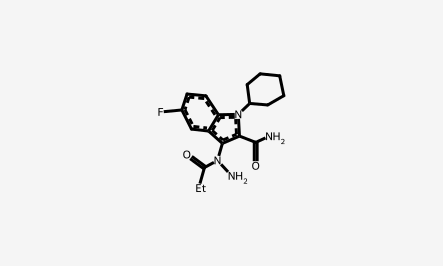 CCC(=O)N(N)c1c(C(N)=O)n(C2CCCCC2)c2ccc(F)cc12